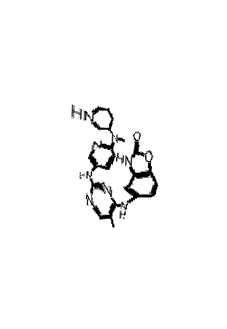 Cc1cnc(Nc2ccc(N(C)[C@@H]3CCCNC3)nc2)nc1Nc1ccc2oc(=O)[nH]c2c1